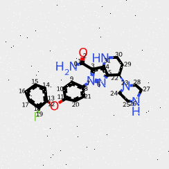 NC(=O)c1c2c(nn1-c1ccc(Oc3ccccc3F)cc1)[C@H](N1CCNCC1)CCN2